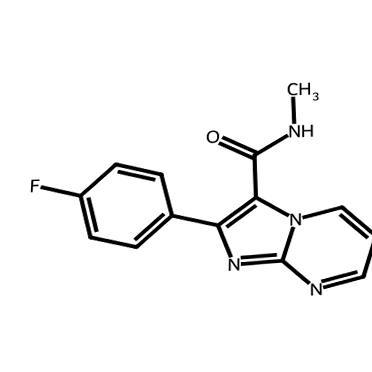 CNC(=O)c1c(-c2ccc(F)cc2)nc2ncccn12